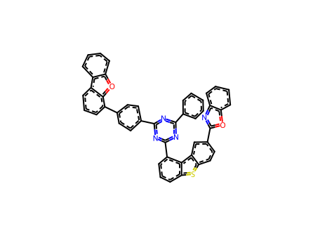 c1ccc(-c2nc(-c3ccc(-c4cccc5c4oc4ccccc45)cc3)nc(-c3cccc4sc5ccc(-c6nc7ccccc7o6)cc5c34)n2)cc1